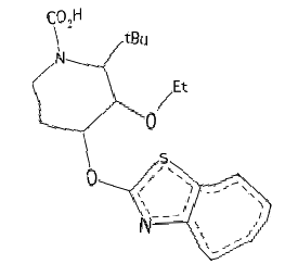 CCOC1C(Oc2nc3ccccc3s2)CCN(C(=O)O)C1C(C)(C)C